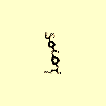 CCCCCCCCCCCC(CCC)Oc1ccc(OC(=O)c2ccc(C(C)OCC)cc2)cc1